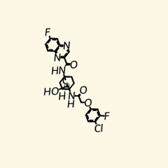 O=C(COc1ccc(Cl)c(F)c1)NC12CCC(NC(=O)c3cnc4cc(F)ccc4n3)(CC1)C[C@@H]2O